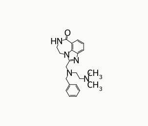 CN(C)CCN(Cc1ccccc1)Cc1nc2cccc3c2n1CCNC3=O